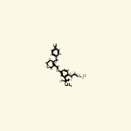 CC(F)(F)c1cc(OCC2=C(Cc3ccc(Cl)cc3)CCOC2)ccc1CCC(=O)O